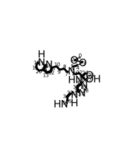 CS(=O)(=O)CCN(CCCCc1ccc2c(n1)NCCC2)CCC(C=O)(CO)Nc1cc(N/C=C\C=N)ncn1